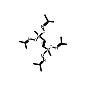 CC(C)=NO[Si](C)(/C=C/[Si](C)(ON=C(C)C)ON=C(C)C)ON=C(C)C